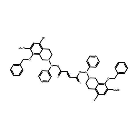 COc1cc(Br)c2c(c1OCc1ccccc1)CN(N(OC(=O)/C=C/C(=O)ON(c1ccncc1)N1CCc3c(Br)cc(OC)c(OCc4ccccc4)c3C1)c1ccncc1)CC2